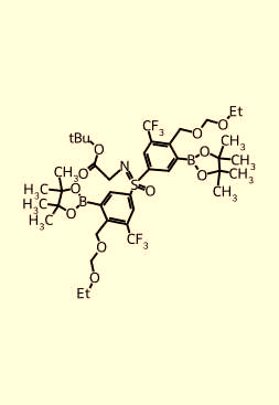 CCOCOCc1c(B2OC(C)(C)C(C)(C)O2)cc(S(=O)(=NCC(=O)OC(C)(C)C)c2cc(B3OC(C)(C)C(C)(C)O3)c(COCOCC)c(C(F)(F)F)c2)cc1C(F)(F)F